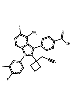 Cc1cc(-n2c(C3(CC#N)CCC3)c(-c3ccc(C(=O)O)cc3)c3c(N)c(F)ccc32)ccc1F